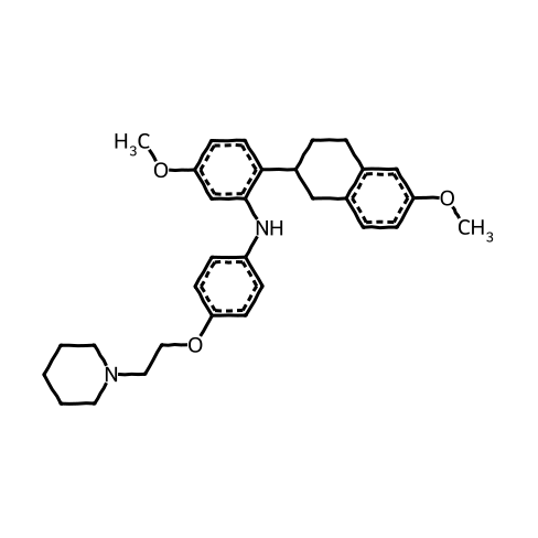 COc1ccc2c(c1)CCC(c1ccc(OC)cc1Nc1ccc(OCCN3CCCCC3)cc1)C2